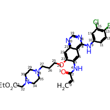 C=CC(=O)Nc1cc2c(Nc3ccc(F)c(Cl)c3)ncnc2cc1OCCCN1CCN(CC(=O)OCC)CC1